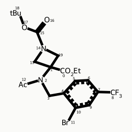 CCOC(=O)C1(N(Cc2ccc(C(F)(F)F)cc2Br)C(C)=O)CN(C(=O)OC(C)(C)C)C1